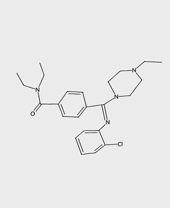 CCN1CCN(C(=Nc2ccccc2Cl)c2ccc(C(=O)N(CC)CC)cc2)CC1